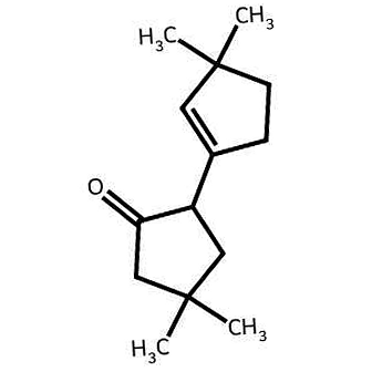 CC1(C)C=C(C2CC(C)(C)CC2=O)CC1